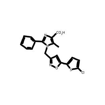 Cc1c(C(=O)O)nc(-c2ccccc2)n1Cc1cc(-c2ccc(Cl)s2)on1